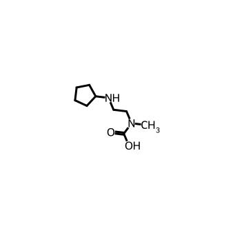 CN(CCNC1CCCC1)C(=O)O